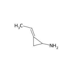 C/C=C1\CC1N